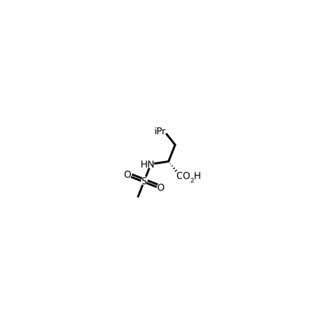 CC(C)C[C@@H](NS(C)(=O)=O)C(=O)O